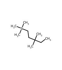 CCC(C)(C)CC[Si](C)(C)C